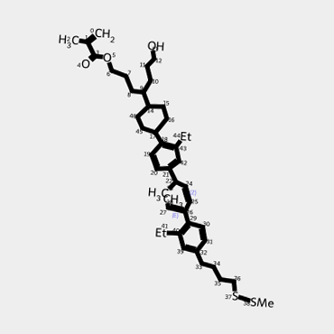 C=C(C)C(=O)OCCCC(CCCO)C1CCC(c2ccc(C(C)/C=C\C(=C/C)c3ccc(CCCCSSC)cc3CC)cc2CC)CC1